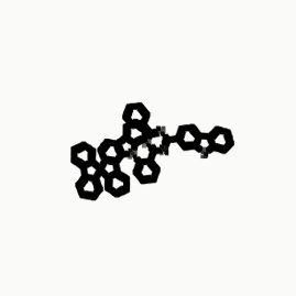 c1ccc(-c2nc(-c3ccc4c(c3)sc3ccccc34)nc(-c3ccccc3-n3c4ccccc4c4ccc5c(c43)-c3ccccc3C53c4ccccc4-c4ccccc43)n2)cc1